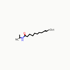 CCCCCCCCC=CCCCCCCCC(=O)NC(C)C#N